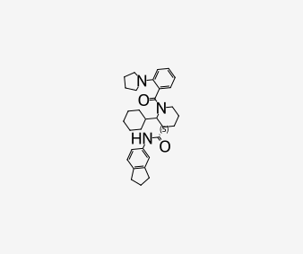 O=C(Nc1ccc2c(c1)CCC2)[C@H]1CCCN(C(=O)c2ccccc2N2CCCC2)C1C1CCCCC1